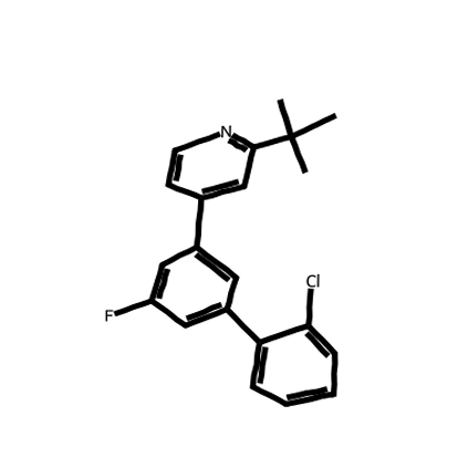 CC(C)(C)c1cc(-c2cc(F)cc(-c3ccccc3Cl)c2)ccn1